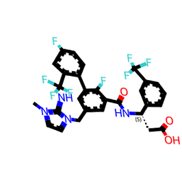 Cn1ccn(Cc2cc(C(=O)N[C@@H](CC(=O)O)c3cccc(C(F)(F)F)c3)c(F)c(-c3ccc(F)cc3C(F)(F)F)c2)c1=N